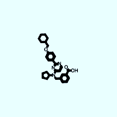 O=C(O)c1cccc(CN(c2ccnc(-c3ccc(OCC4CCCCC4)cc3)n2)C2CCCC2)c1